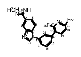 N=C(NO)c1ccc2c(c1)ncn2-c1cccc(-c2ccc(F)nc2F)c1